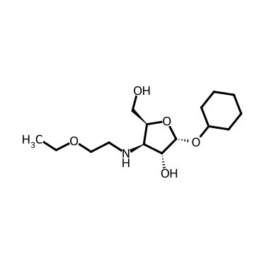 CCOCCN[C@@H]1[C@@H](O)[C@@H](OC2CCCCC2)O[C@@H]1CO